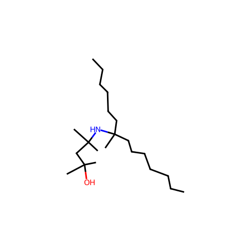 CCCCCCCC(C)(CCCCCC)NC(C)(C)CC(C)(C)O